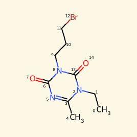 CCn1c(C)nc(=O)n(CCCBr)c1=O